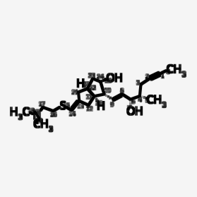 CC#CC[C@H](C)[C@H](O)/C=C/[C@@H]1[C@H]2C/C(=C/SCCN(C)C)C[C@H]2C[C@H]1O